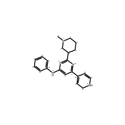 CN1CCCC(c2nc(Nc3ccccc3)cc(C3=CCNC=C3)n2)C1